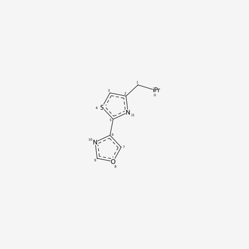 CC(C)Cc1csc(-c2cocn2)n1